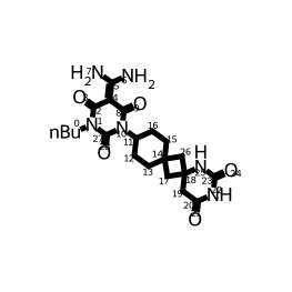 CCCCN1C(=O)C(=C(N)N)C(=O)N(C2CCC3(CC2)CC2(CC(=O)NC(=O)N2)C3)C1=O